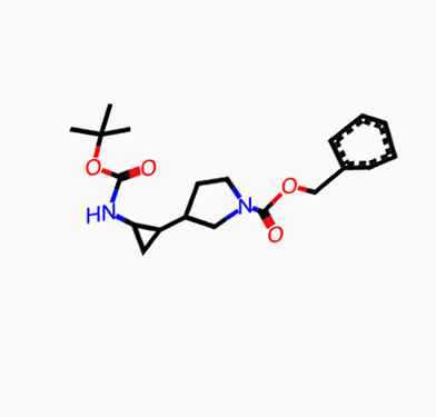 CC(C)(C)OC(=O)NC1CC1C1CCN(C(=O)OCc2ccccc2)C1